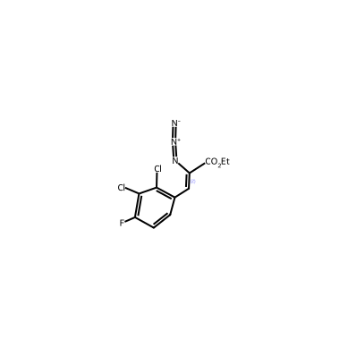 CCOC(=O)/C(=C/c1ccc(F)c(Cl)c1Cl)N=[N+]=[N-]